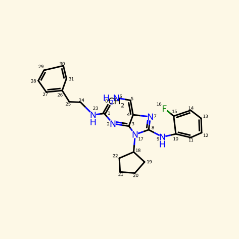 C=C(/N=C1\C(=C/N)N=C(Nc2ccccc2F)N1C1CCCC1)NCCc1ccccc1